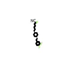 N#CC(F)=CC=CCC[C@H]1CC[C@H](CCc2ccc(F)c(F)c2)CC1